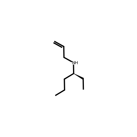 C=CCN[C@@H](CC)CCC